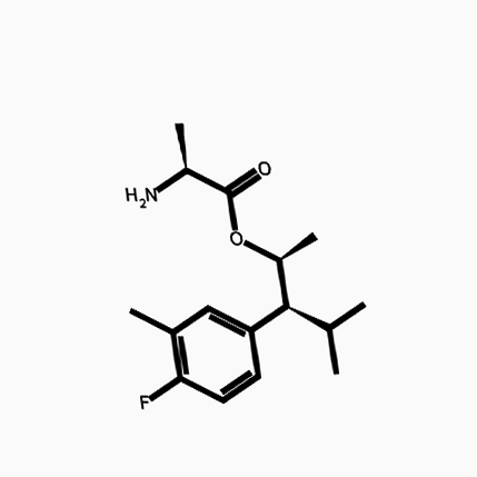 Cc1cc([C@H](C(C)C)[C@H](C)OC(=O)[C@H](C)N)ccc1F